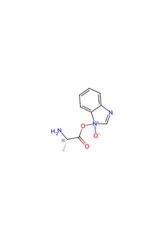 C[C@H](N)C(=O)O[N+]1([O-])C=Nc2ccccc21